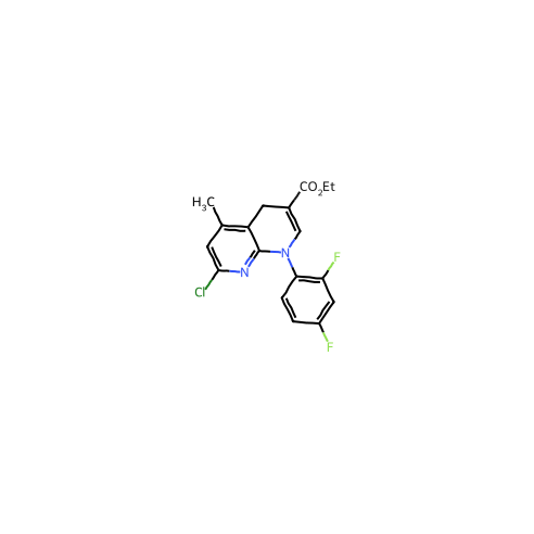 CCOC(=O)C1=CN(c2ccc(F)cc2F)c2nc(Cl)cc(C)c2C1